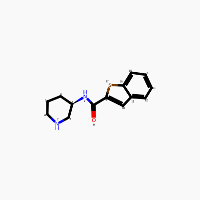 O=C(N[C@@H]1CCCNC1)c1cc2ccccc2s1